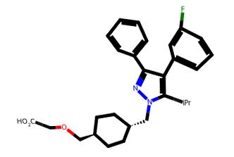 CC(C)c1c(-c2cccc(F)c2)c(-c2ccccc2)nn1C[C@H]1CC[C@H](COCC(=O)O)CC1